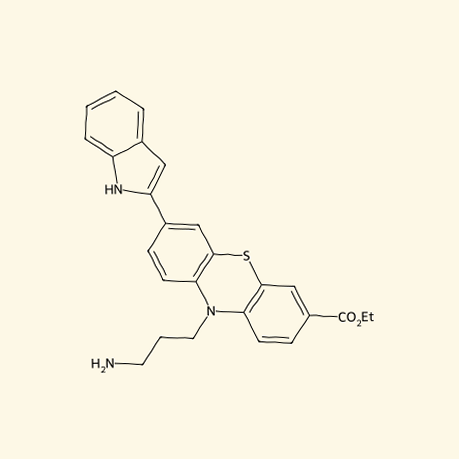 CCOC(=O)c1ccc2c(c1)Sc1cc(-c3cc4ccccc4[nH]3)ccc1N2CCCN